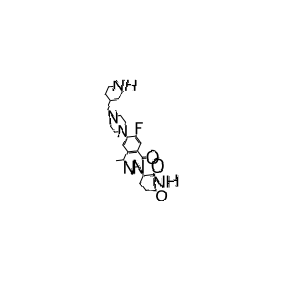 Cc1nn(C2CCC(=O)NC2=O)c(=O)c2cc(F)c(N3CCN(CC4CCNCC4)CC3)cc12